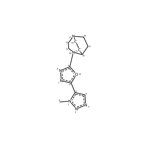 Cn1nncc1-c1nnc(N2CCN3CCC2CC3)o1